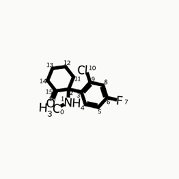 CNC1(c2ccc(F)cc2Cl)CCCCC1=O